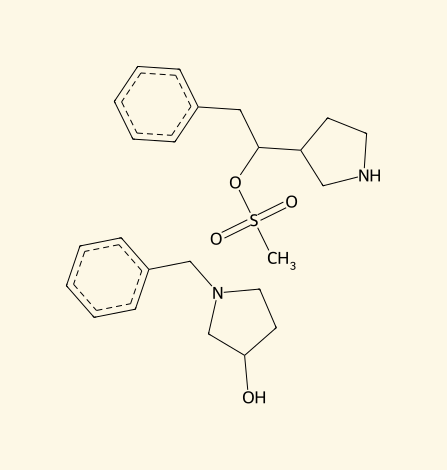 CS(=O)(=O)OC(Cc1ccccc1)C1CCNC1.OC1CCN(Cc2ccccc2)C1